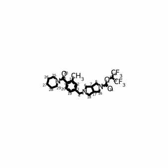 Cc1cc(CN2CC3CN(C(=O)OC(C(F)(F)F)C(F)(F)F)CC3C2)ccc1C(=O)N1CCCCC1